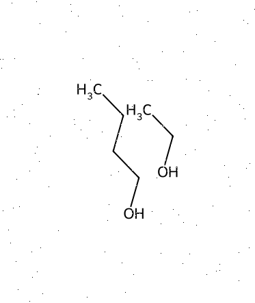 CCCCO.CCO